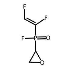 O=P(F)(/C(F)=C/F)C1CO1